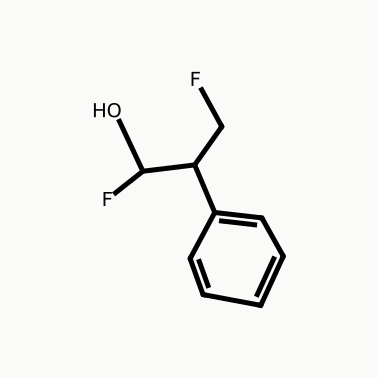 OC(F)C(CF)c1ccccc1